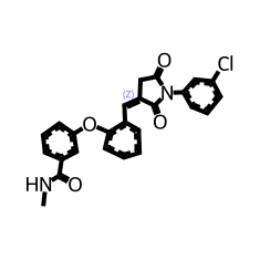 CNC(=O)c1cccc(Oc2ccccc2/C=C2/CC(=O)N(c3cccc(Cl)c3)C2=O)c1